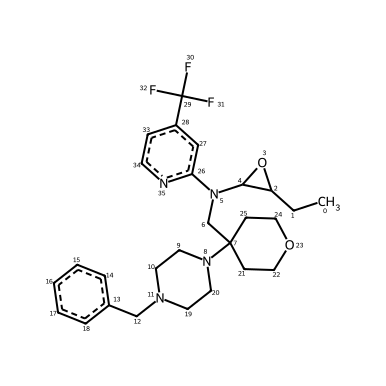 CCC1OC1N(CC1(N2CCN(Cc3ccccc3)CC2)CCOCC1)c1cc(C(F)(F)F)ccn1